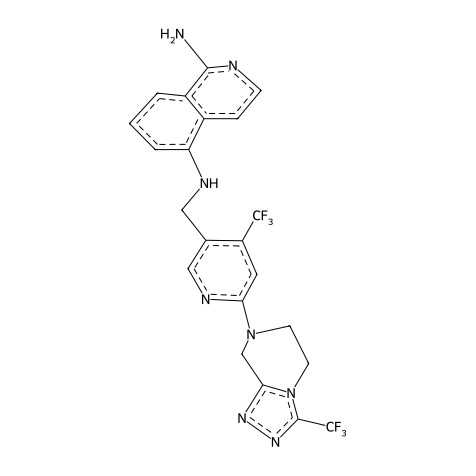 Nc1nccc2c(NCc3cnc(N4CCn5c(nnc5C(F)(F)F)C4)cc3C(F)(F)F)cccc12